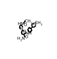 C=CC(=O)N[C@H]1CCN(c2ccc(C(N)=O)c(Nc3ccc(C4CCN(C)CC4)cc3)n2)C1